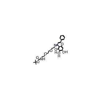 CC(C)(C)OC(=O)NCCOCCOCC/N=c1/cc(-c2ccccc2)oc2cc(O)c(O)c(O)c12